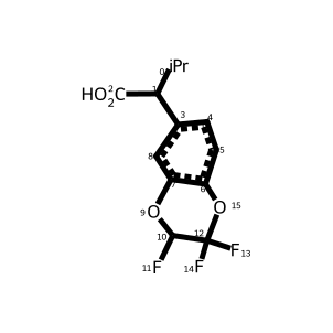 CC(C)C(C(=O)O)c1ccc2c(c1)OC(F)C(F)(F)O2